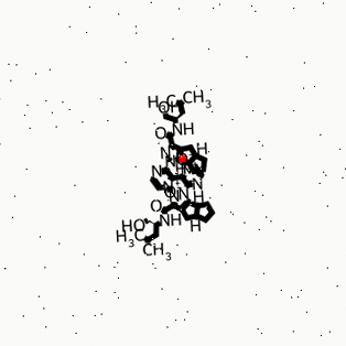 CC(C)C[C@H](CO)NC(=O)c1nn(-c2ncc[n+]([O-])c2-c2c(-n3nc(C(=O)N[C@@H](CO)CC(C)C)c4c3[C@@H]3CCC[C@@H]3C4)ncc[n+]2[O-])c2c1C[C@H]1CCC[C@@H]21